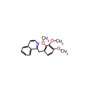 COc1ccc(Cc2nccc3ccccc23)c(OC)c1OC